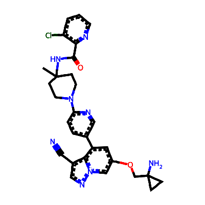 CC1(NC(=O)c2ncccc2Cl)CCN(c2ccc(-c3cc(OCC4(N)CC4)cn4ncc(C#N)c34)cn2)CC1